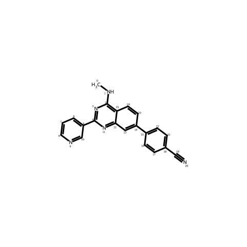 CNc1nc(-c2cccnc2)nc2cc(-c3ccc(C#N)cc3)ccc12